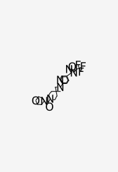 O=C(N1CCOCC1)N1CCC2(CC1)CN(c1ccc(-c3noc(C(F)(F)F)n3)cn1)C2